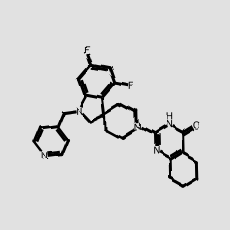 O=c1[nH]c(N2CCC3(CC2)CN(Cc2ccncc2)c2cc(F)cc(F)c23)nc2c1CCCC2